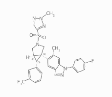 Cc1cc2c(cnn2-c2ccc(F)cc2)cc1[C@@]12CN(S(=O)(=O)c3cnn(C)n3)C[C@@H]1[C@H]2c1cccc(C(F)(F)F)c1